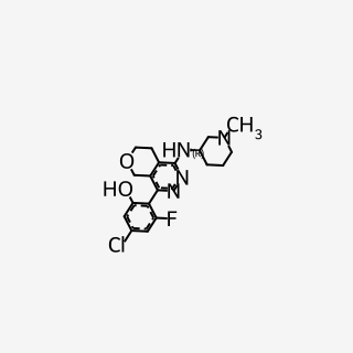 CN1CCC[C@@H](Nc2nnc(-c3c(O)cc(Cl)cc3F)c3c2CCOC3)C1